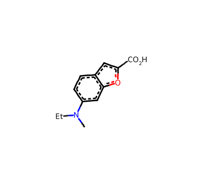 CCN(C)c1ccc2cc(C(=O)O)oc2c1